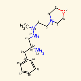 CN(CCN1CCOCC1)NC[C@H](N)Cc1ccccc1